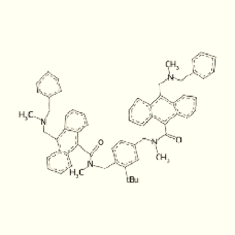 CN(Cc1ccccc1)Cc1c2ccccc2c(C(=O)N(C)Cc2ccc(CN(C)C(=O)c3c4ccccc4c(CN(C)Cc4ccccc4)c4ccccc34)c(C(C)(C)C)c2)c2ccccc12